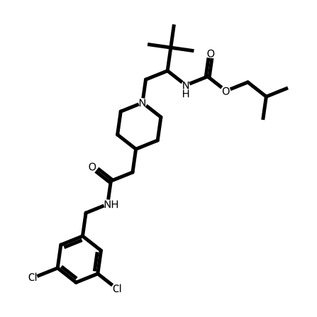 CC(C)COC(=O)NC(CN1CCC(CC(=O)NCc2cc(Cl)cc(Cl)c2)CC1)C(C)(C)C